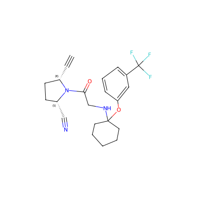 C#C[C@H]1CC[C@@H](C#N)N1C(=O)CNC1(Oc2cccc(C(F)(F)F)c2)CCCCC1